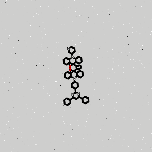 c1ccc(-c2cc(-c3ccccc3)nc(-c3ccc(N4c5ccccc5C5(c6ccccc64)c4ccccc4C4(c6ccccc6N(c6cccnc6)c6ccccc64)c4ccccc45)cc3)n2)cc1